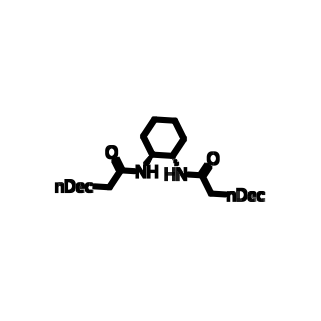 CCCCCCCCCCCC(=O)N[C@H]1CCCC[C@@H]1NC(=O)CCCCCCCCCCC